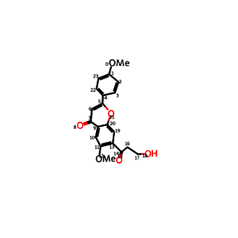 COc1ccc(-c2cc(=O)c3cc(OC)c(C(=O)CCO)cc3o2)cc1